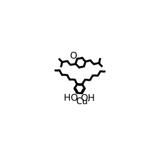 CC(C)CCC1CCC(CCC(C)C)C(=O)C1.CCCCCCc1cc(O)c(O)cc1CCCCCC.[Cu]